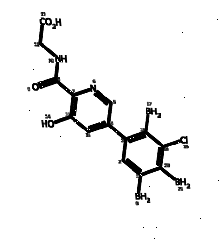 Bc1cc(-c2cnc(C(=O)NCC(=O)O)c(O)c2)c(B)c(Cl)c1B